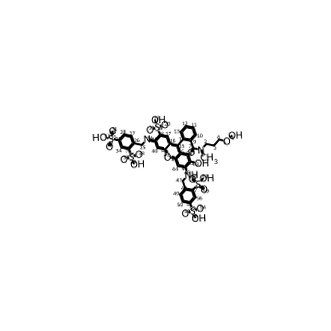 CN(CCCOO)C(=O)c1ccccc1-c1c2cc(S(=O)(=O)O)/c(=N/Cc3ccc(S(=O)(=O)O)cc3S(=O)(=O)O)cc-2oc2cc(NCc3ccc(S(=O)(=O)O)cc3S(=O)(=O)O)c(O)cc12